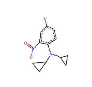 O=[N+]([O-])c1cc(Br)ccc1N(C1CC1)C1CC1